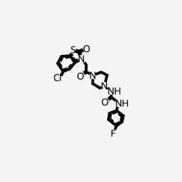 O=C(Nc1ccc(F)cc1)NN1CCN(C(=O)Cn2c(=O)sc3ccc(Cl)cc32)CC1